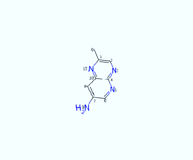 Cc1cnc2ncc(N)cc2n1